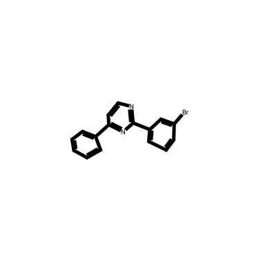 Brc1cccc(-c2nccc(-c3ccccc3)n2)c1